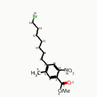 COC(=O)c1cc(C)c(CCCCCCCBr)cc1[N+](=O)[O-]